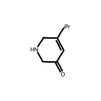 CC(C)C1=CC(=O)CNC1